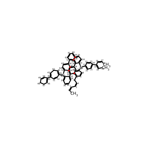 C/C=C\C=C/Cc1ccc(N(c2ccc(C(/C=C\C)=C/C)cc2)c2ccccc2C2=CC=C(c3ccccc3N(C3=CCC=C(C4=CCCC=C4)C=C3)c3ccc(-c4ccccc4)cc3)CC2)cc1